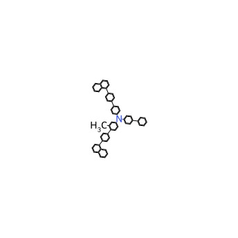 Cc1cc(N(c2ccc(-c3ccccc3)cc2)c2ccc(-c3ccc(-c4cccc5ccccc45)cc3)cc2)ccc1-c1ccc(-c2cccc3ccccc23)cc1